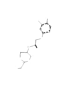 O=C(COc1ccc(Cl)c(F)c1)NC1COC(CO)OC1